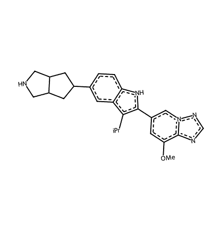 COc1cc(-c2[nH]c3ccc(C4CC5CNCC5C4)cc3c2C(C)C)cn2ncnc12